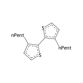 CCCCCc1ccsc1-c1sccc1CCCCC